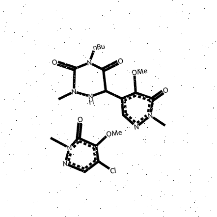 CCCCN1C(=O)C(c2cnn(C)c(=O)c2OC)NN(C)C1=O.COc1c(Cl)cnn(C)c1=O